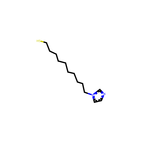 SCCCCCCCCCCn1ccnc1